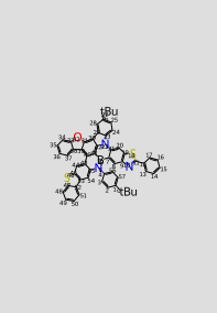 CC(C)(C)c1ccc(N2B3c4cc5nc(-c6ccccc6)sc5cc4-n4c5ccc(C(C)(C)C)cc5c5c6oc7ccccc7c6c(c3c54)-c3cc4sc5ccccc5c4cc32)cc1